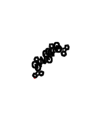 O=C(C(CCl)c1ccc2n1Cc1ccccc1N(C(=O)OCC1c3ccccc3-c3ccccc31)C2)C(CCl)c1ccc2n1Cc1ccccc1N(C(=O)OCC1c3ccccc3-c3ccccc31)C2